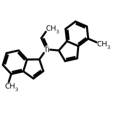 C[CH]=[Ti]([CH]1C=Cc2c(C)cccc21)[CH]1C=Cc2c(C)cccc21